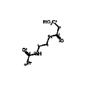 CCOC(=O)CC(=O)SCCNC(=O)C(C)C